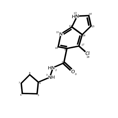 O=C(NNC1CCCC1)c1cnc2[nH]ccc2c1Cl